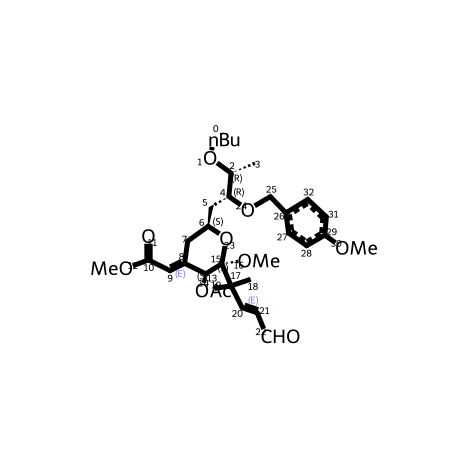 CCCCO[C@H](C)[C@@H](C[C@@H]1C/C(=C\C(=O)OC)[C@H](OC(C)=O)[C@](OC)(C(C)(C)/C=C/C=O)O1)OCc1ccc(OC)cc1